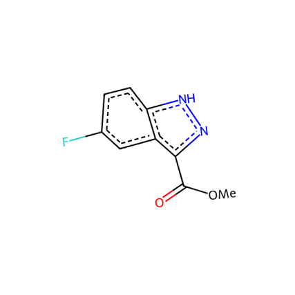 COC(=O)c1n[nH]c2ccc(F)cc12